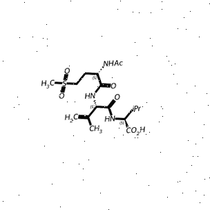 C=C(C)[C@H](NC(=O)[C@H](CCS(C)(=O)=O)NC(C)=O)C(=O)N[C@H](C(=O)O)C(C)C